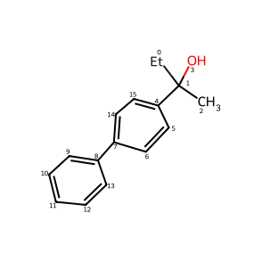 CCC(C)(O)c1ccc(-c2ccccc2)cc1